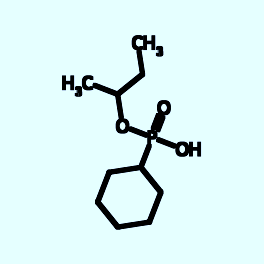 CCC(C)OP(=O)(O)C1CCCCC1